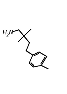 Cc1ccc(CCC(C)(C)CN)cc1